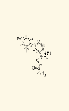 NC(=O)C=Cc1c[nH]c2ncc(-c3ccc(F)cc3F)cc12